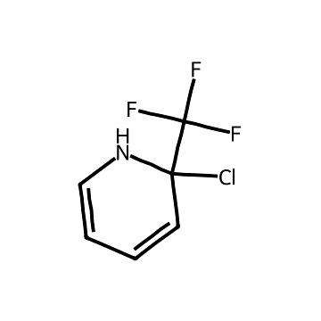 FC(F)(F)C1(Cl)C=CC=CN1